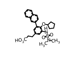 CN(C)S(=O)(=O)Nc1cc(CCC(=O)O)cc(-c2ccc3ccccc3c2)c1OC1CCCC1